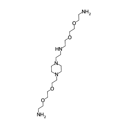 NCCOCCOCCNCCN1CCN(CCOCCOCCN)CC1